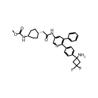 COC(=O)N[C@H]1CC[C@H](CC(=O)Nc2cnc(-c3ccc(C4(N)CC(F)(F)C4)cc3)c(-c3ccccc3)c2)CC1